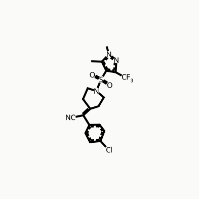 Cc1c(S(=O)(=O)N2CCC(=C(C#N)c3ccc(Cl)cc3)CC2)c(C(F)(F)F)nn1C